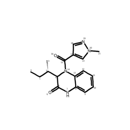 CC[C@H](C)C1C(=O)Nc2ccccc2N1C(=O)c1cnn(C)c1